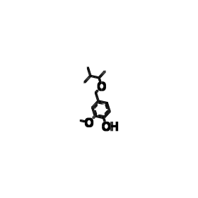 COc1cc(COC(C)C(C)C)ccc1O